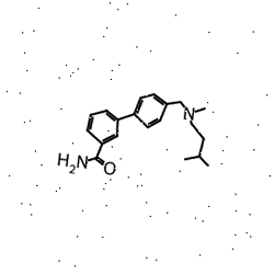 CC(C)CCN(C)Cc1ccc(-c2cccc(C(N)=O)c2)cc1